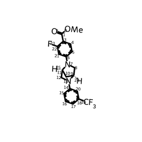 COC(=O)c1ccc(N2C[C@@H]3C[C@H]2CN3c2cccc(C(F)(F)F)c2)cc1F